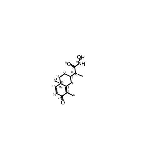 CC1=C2CC([C@H](C)C(=O)NO)CC[C@@]2(C)C=CC1=O